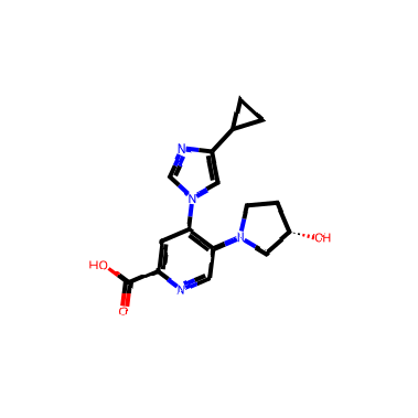 O=C(O)c1cc(-n2cnc(C3CC3)c2)c(N2CC[C@H](O)C2)cn1